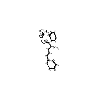 CC(=O)[C@@H]1CCCC[C@@H]1C(=O)N(N)CCCN1CCCCC1